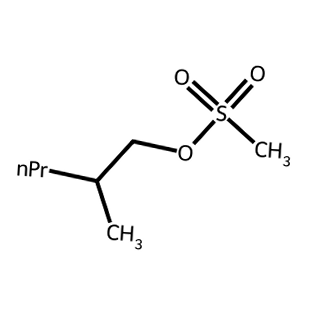 CCCC(C)COS(C)(=O)=O